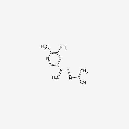 C=C(C#N)/N=C/C(=C)c1cnc(C)c(N)c1